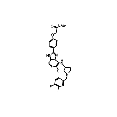 CNC(=O)COc1ccc(-c2nc3c(N[C@H]4CCN(Cc5ccc(F)c(F)c5)C4)c(Cl)cnc3[nH]2)cc1